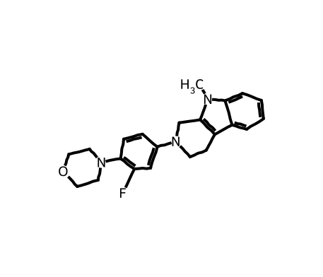 Cn1c2c(c3ccccc31)CCN(c1ccc(N3CCOCC3)c(F)c1)C2